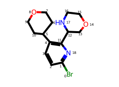 Brc1ccc(C2CCOCC2)c(C2COCCN2)n1